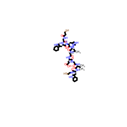 CC(C)C[C@H](NC(=O)[C@H](CC1=CNCN1)NC(=O)[C@H](CC1=CNC2CCCCC12)NC(=O)CNC(=O)CCS)C(=O)NCC(=O)N[C@@H](CCC(=O)O)C(=O)NCC(=O)N[C@H](C(=O)N[C@@H](CC1=CNC2CCCCC12)C(=O)NCCS)C(C)C